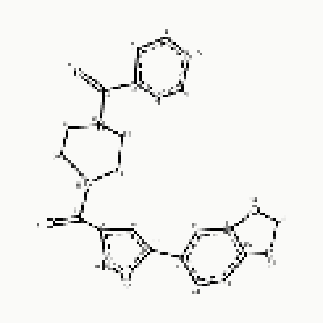 O=C(c1ccncc1)N1CCN(C(=O)c2cc(-c3ccc4c(c3)OCO4)on2)CC1